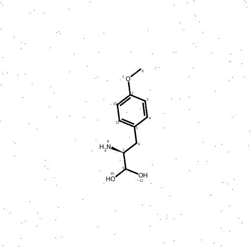 COc1ccc(C[C@H](N)C(O)O)cc1